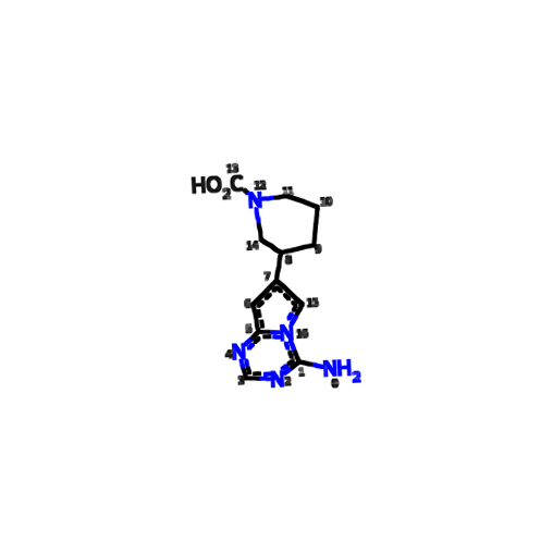 Nc1ncnc2cc(C3CCCN(C(=O)O)C3)cn12